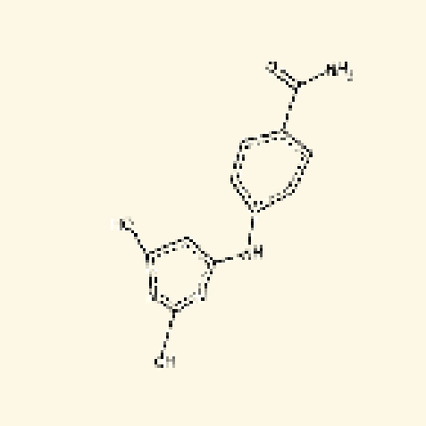 NC(=O)c1ccc(Nc2cc(O)nc(O)n2)cc1